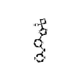 OC1(c2ncc(-c3cccc(Nc4cnccn4)n3)s2)CCC1